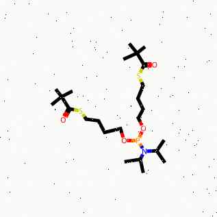 CC(C)N(C(C)C)P(OCCCCSC(=O)C(C)(C)C)OCCCCSC(=O)C(C)(C)C